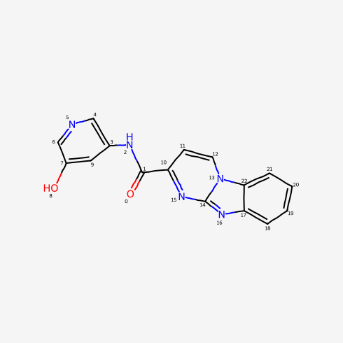 O=C(Nc1cncc(O)c1)c1ccn2c(n1)nc1ccccc12